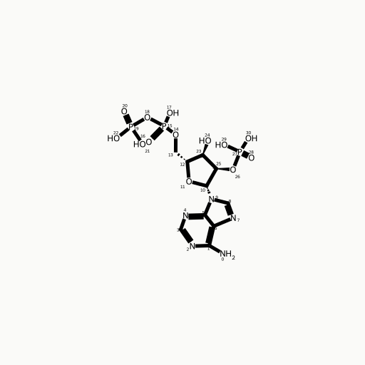 Nc1ncnc2c1ncn2[C@@H]1O[C@H](COP(=O)(O)OP(=O)(O)O)[C@@H](O)[C@H]1OP(=O)(O)O